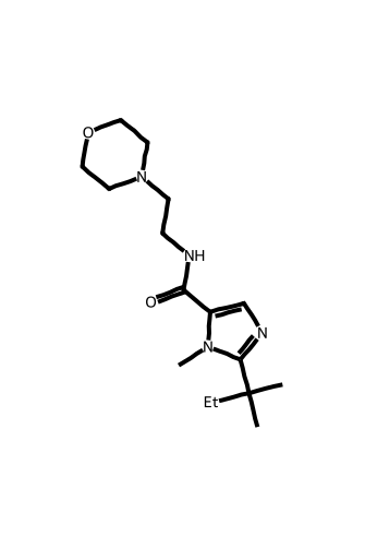 CCC(C)(C)c1ncc(C(=O)NCCN2CCOCC2)n1C